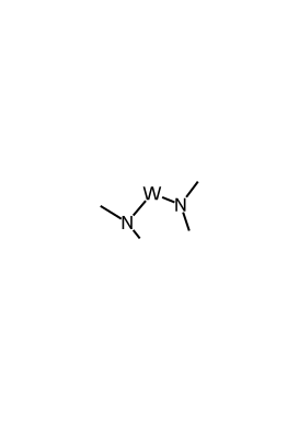 C[N](C)[W][N](C)C